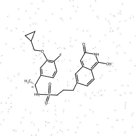 C[C@@H](NS(=O)(=O)CCCc1ccc2c(O)[nH]c(=O)cc2c1)c1ccc(F)c(OCC2CC2)c1